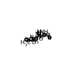 CC(C)(C=C(C#N)C(=O)N1CCC(n2c(=O)n(-c3ccc(Oc4ccccc4)cc3)c3c(N)ncnc32)CC1)N1CCCCC1